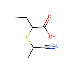 CCC(SC(C)C#N)C(=O)O